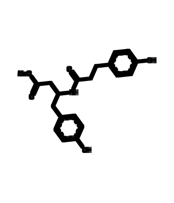 COC(=O)CC(Cc1ccc(O)cc1)NC(=O)CCc1ccc(O)cc1